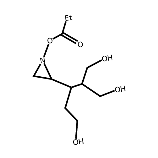 CCC(=O)ON1CC1C(CCO)C(CO)CO